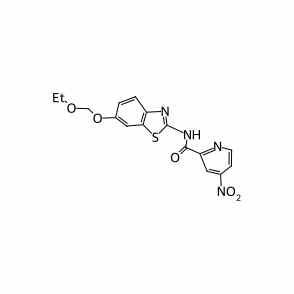 CCOCOc1ccc2nc(NC(=O)c3cc([N+](=O)[O-])ccn3)sc2c1